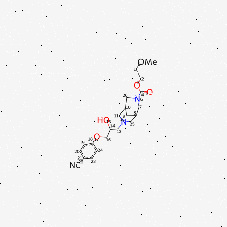 COCCOC(=O)N1CC2CC(CN(CC(O)COc3ccc(C#N)cc3)C2)C1